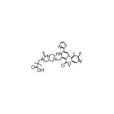 COC(=O)C1=C(CN2CCN3C(=S)N(CC(C)(C)C(=O)O)CC3C2)NC(c2nccs2)=CC1c1ccc(F)c(F)c1C